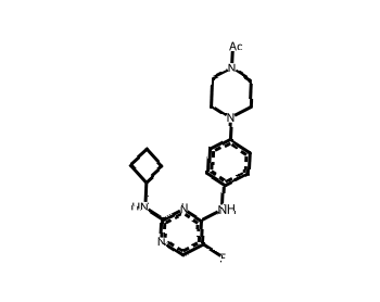 CC(=O)N1CCN(c2ccc(Nc3nc(NC4CCC4)ncc3F)cc2)CC1